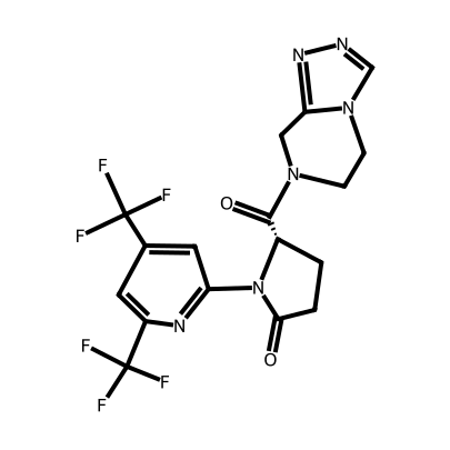 O=C([C@@H]1CCC(=O)N1c1cc(C(F)(F)F)cc(C(F)(F)F)n1)N1CCn2cnnc2C1